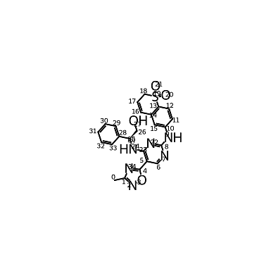 Cc1noc(-c2cnc(Nc3ccc4c(c3)C=CCS4(=O)=O)nc2N[C@H](CO)c2ccccc2)n1